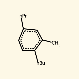 [CH2]CCCc1ccc(CCC)cc1C